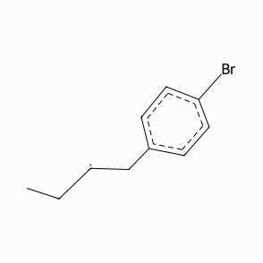 CC[CH]Cc1ccc(Br)cc1